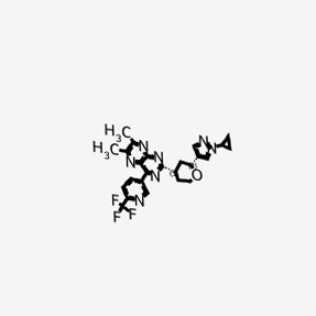 Cc1nc2nc([C@H]3CCO[C@@H](c4cnn(C5CC5)c4)C3)nc(-c3ccc(C(F)(F)F)nc3)c2nc1C